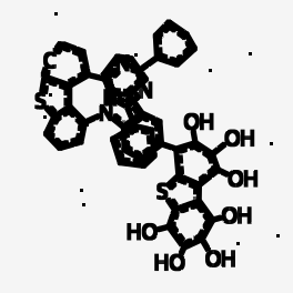 Oc1c(O)c(O)c2c(sc3c(-c4ccc5c(c4)c4ccccc4n5-c4cccc5sc6cccc(-c7nc(-c8ccccc8)nc(-c8ccccc8)n7)c6c45)c(O)c(O)c(O)c32)c1O